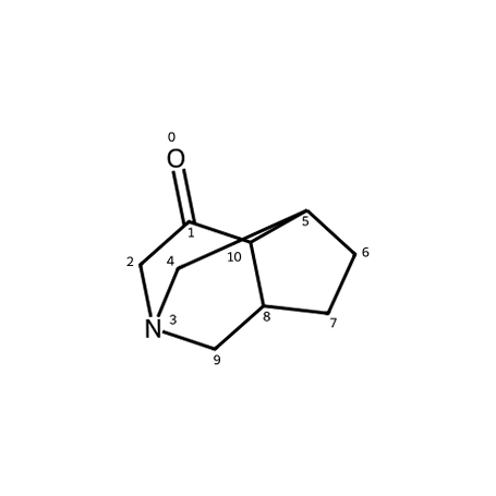 O=C1CN2CC3CCC(C2)C13